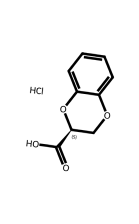 Cl.O=C(O)[C@@H]1COc2ccccc2O1